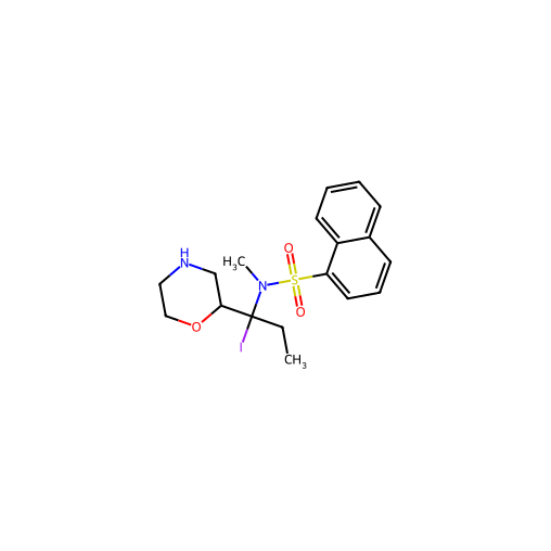 CCC(I)(C1CNCCO1)N(C)S(=O)(=O)c1cccc2ccccc12